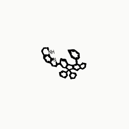 C1=CC2c3c(cc4ccccc4c3-c3ccccc3)C(c3ccccc3)(c3ccccc3)C2C=C1c1ccc2ccc3c(c2n1)NCCC3